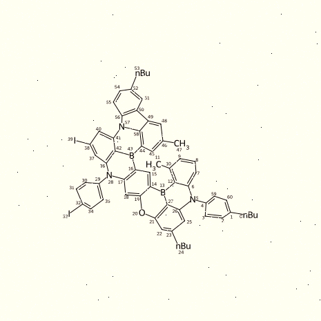 CCCCc1ccc(N2c3cccc(C)c3B3c4cc5c(cc4Oc4cc(CCCC)cc2c43)N(c2ccc(I)cc2)c2cc(I)cc3c2B5c2cc(C)cc4c5cc(CCCC)ccc5n-3c24)cc1